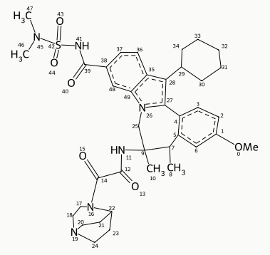 COc1ccc2c(c1)C(C)C(C)(NC(=O)C(=O)N1CCN3CCC1CC3)Cn1c-2c(C2CCCCC2)c2ccc(C(=O)NS(=O)(=O)N(C)C)cc21